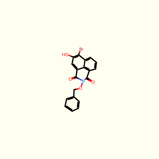 O=C1c2cccc3c(Br)c(O)cc(c23)C(=O)N1OCc1ccccc1